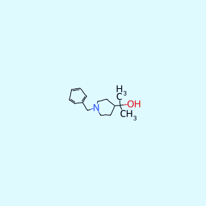 CC(C)(O)C1CCN(Cc2ccccc2)CC1